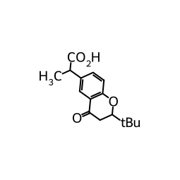 CC(C(=O)O)c1ccc2c(c1)C(=O)CC(C(C)(C)C)O2